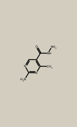 Cc1nc(N)ncc1C(=O)NN